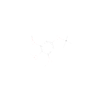 COc1cc(OC(C)(C)C)cc(OC)c1OC